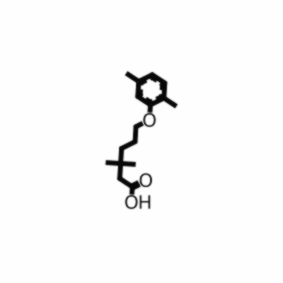 Cc1ccc(C)c(OCCCC(C)(C)CC(=O)O)c1